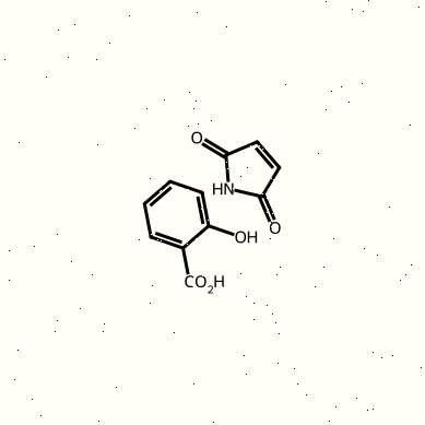 O=C(O)c1ccccc1O.O=C1C=CC(=O)N1